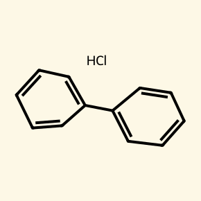 Cl.c1ccc(-c2ccccc2)cc1